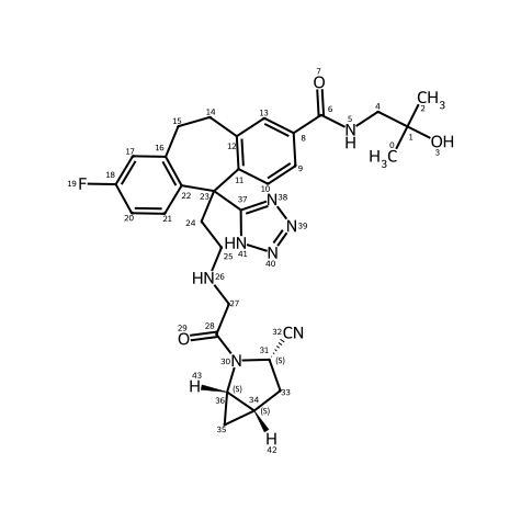 CC(C)(O)CNC(=O)c1ccc2c(c1)CCc1cc(F)ccc1C2(CCNCC(=O)N1[C@H](C#N)C[C@@H]2C[C@@H]21)c1nnn[nH]1